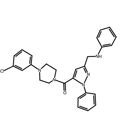 O=C(c1cc(CNc2ccccc2)nn1-c1ccccc1)N1CCN(c2cccc(Cl)c2)CC1